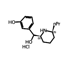 CCC[C@H]1CCC[C@@H](C(O)c2cccc(O)c2)N1.Cl